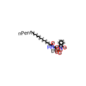 CCCCCC=CCC=CCCCCCCCC(=O)NCCOP(=O)(OCC)ON1C(=O)c2ccccc2C1=O